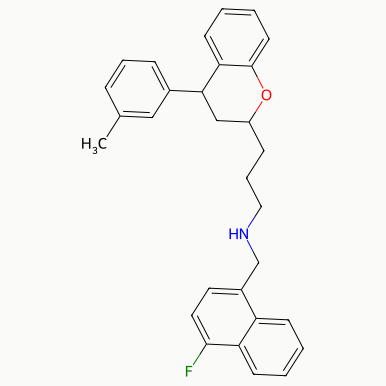 Cc1cccc(C2CC(CCCNCc3ccc(F)c4ccccc34)Oc3ccccc32)c1